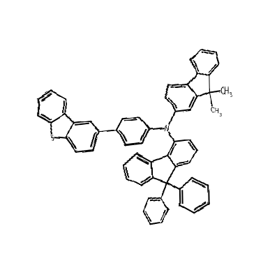 CC1(C)c2ccccc2-c2ccc(N(c3ccc(-c4ccc5sc6ccccc6c5c4)cc3)c3cccc4c3-c3ccccc3C4(c3ccccc3)c3ccccc3)cc21